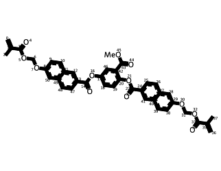 C=C(C)C(=O)OCOc1ccc2cc(C(=O)Oc3ccc(OC(=O)c4ccc5cc(OCOC(=O)C(=C)C)ccc5c4)c(C(=O)OC)c3)ccc2c1